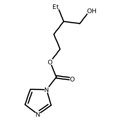 CCC(CO)CCOC(=O)n1ccnc1